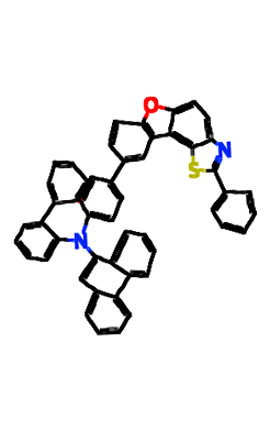 c1ccc(-c2nc3ccc4oc5ccc(-c6ccc(N(c7ccccc7-c7ccccc7)c7cc8ccccc8c8ccccc78)cc6)cc5c4c3s2)cc1